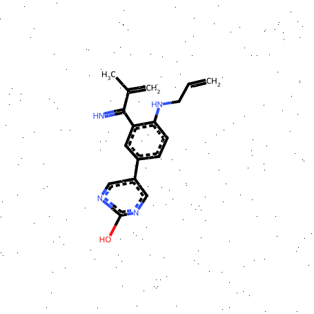 C=CCNc1ccc(-c2cnc(O)nc2)cc1C(=N)C(=C)C